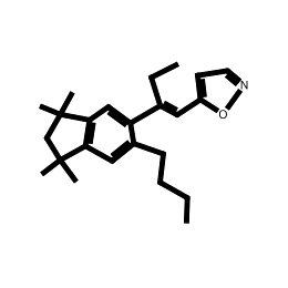 CCCCc1cc2c(cc1C(=Cc1ccno1)CC)C(C)(C)CC2(C)C